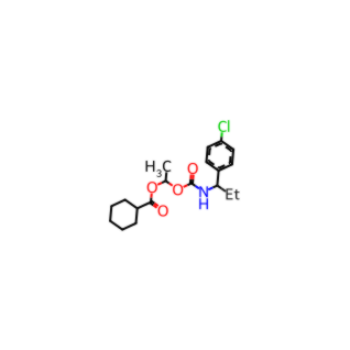 [CH2]CC(NC(=O)OC(C)OC(=O)C1CCCCC1)c1ccc(Cl)cc1